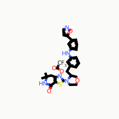 CC1(C)CC2=C(SC(N3CCOCC3Cc3cccc(Nc4cccc(-c5ccno5)c4)c3)N2OC(=O)C(F)(F)F)C(=O)N1